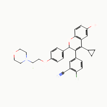 N#Cc1cc(C2=C(C3CC3)c3cc(O)ccc3OC2c2ccc(OC[C@H](F)N3CCOCC3)cc2)ccc1Cl